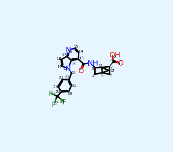 O=C(NC1CC23C[C@H](C(=O)O)C12C3)c1ccnc2ccn(Cc3ccc(C(F)(F)F)cc3)c12